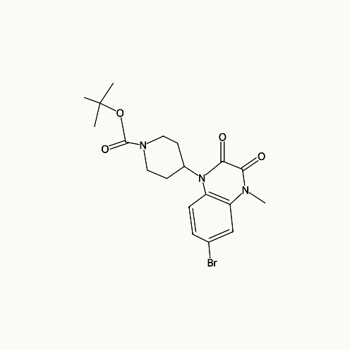 Cn1c(=O)c(=O)n(C2CCN(C(=O)OC(C)(C)C)CC2)c2ccc(Br)cc21